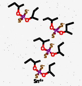 CCC(C)OP(=S)([S-])OC(C)CC.CCC(C)OP(=S)([S-])OC(C)CC.CCC(C)OP(=S)([S-])OC(C)CC.CCC(C)OP(=S)([S-])OC(C)CC.[Sn+4]